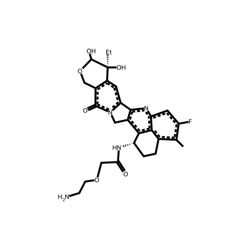 CC[C@]1(O)c2cc3n(c(=O)c2COC1O)Cc1c-3nc2cc(F)c(C)c3c2c1[C@@H](NC(=O)COCCN)CC3